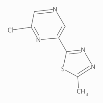 Cc1nnc(-c2cncc(Cl)n2)s1